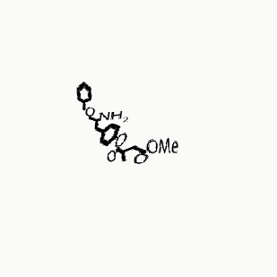 C=C(CC(=O)OC)C(=O)Oc1ccc(CC(N)COCc2ccccc2)cc1